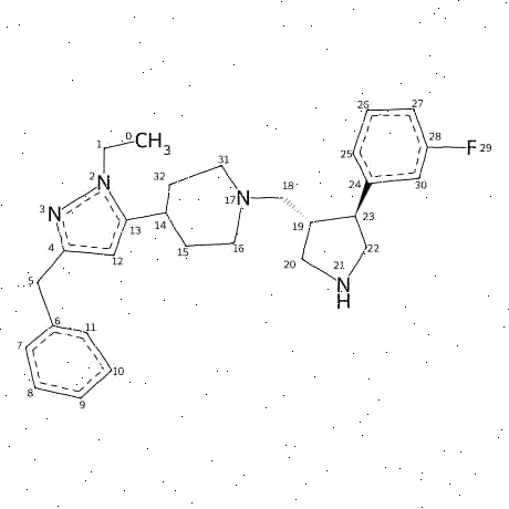 CCn1nc(Cc2ccccc2)cc1C1CCN(C[C@H]2CNC[C@@H]2c2cccc(F)c2)CC1